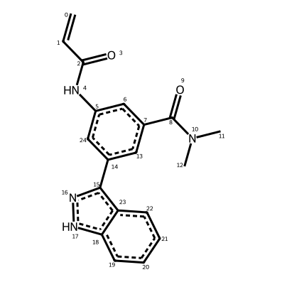 C=CC(=O)Nc1cc(C(=O)N(C)C)cc(-c2n[nH]c3ccccc23)c1